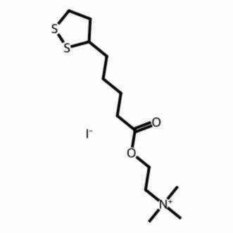 C[N+](C)(C)CCOC(=O)CCCCC1CCSS1.[I-]